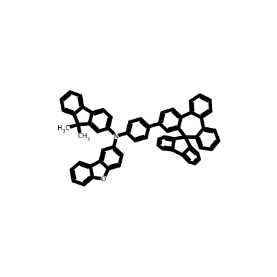 CC1(C)c2ccccc2-c2ccc(N(c3ccc(-c4ccc5c(c4)C4(c6ccccc6-c6ccccc6-5)c5ccccc5-c5ccccc54)cc3)c3ccc4oc5ccccc5c4c3)cc21